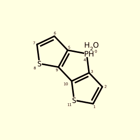 O.c1cc2[pH]c3ccsc3c2s1